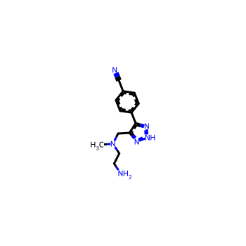 CN(CCN)Cc1n[nH]nc1-c1ccc(C#N)cc1